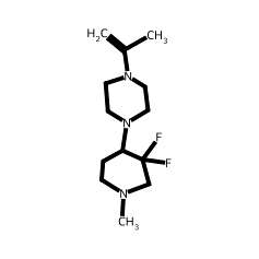 C=C(C)N1CCN(C2CCN(C)CC2(F)F)CC1